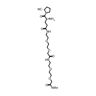 CNC(=O)COCCOCCNC(=O)COCCOCCNC(=O)CC[C@H](N)C(=O)N1CCC[C@H]1C#N